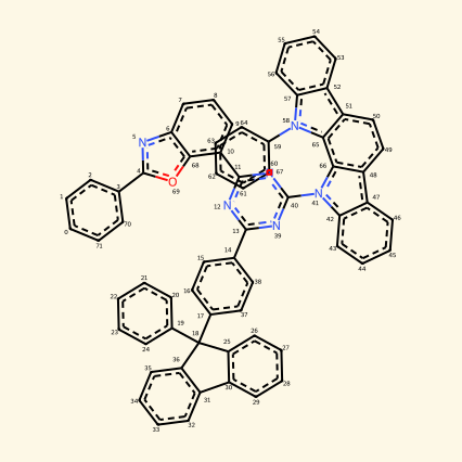 c1ccc(-c2nc3cccc(-c4nc(-c5ccc(C6(c7ccccc7)c7ccccc7-c7ccccc76)cc5)nc(-n5c6ccccc6c6ccc7c8ccccc8n(-c8ccccc8)c7c65)n4)c3o2)cc1